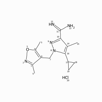 Cc1noc(C)c1Cn1nc(C(=N)N)c(C)c1C1CC1.Cl